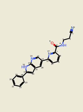 N#CCCNC(=O)c1cccc(-c2cnc3[nH]c(-c4ccccc4)cc3c2)n1